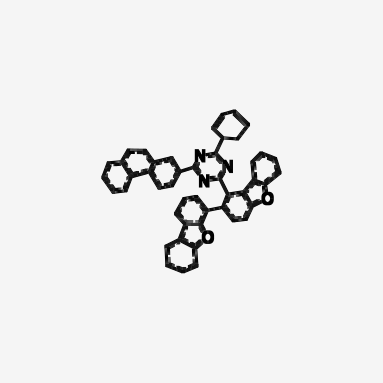 C1=CCC(c2nc(-c3ccc4c(ccc5ccccc54)c3)nc(-c3c(-c4cccc5c4oc4ccccc45)ccc4oc5ccccc5c34)n2)C=C1